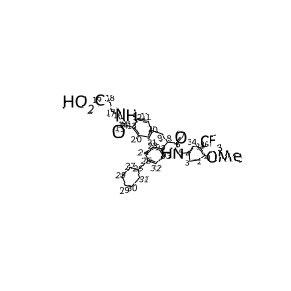 COc1ccc(NC(=O)C(Cc2ccc(C(=O)NCCC(=O)O)cc2)c2ccc(C3CCCCC3)cc2)cc1C(F)(F)F